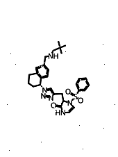 CC(C)(C)CNCc1ccc2c(c1)CCC[C@H]2n1cc(CC2C(=O)NC=CN2S(=O)(=O)c2ccccc2)nn1